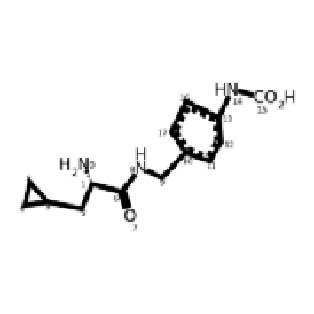 N[C@@H](CC1CC1)C(=O)NCc1ccc(NC(=O)O)cc1